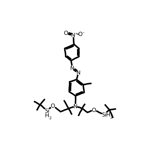 Cc1cc(N(C(C)(C)CO[SiH2]C(C)(C)C)C(C)(C)CO[SiH2]C(C)(C)C)ccc1N=Nc1ccc([N+](=O)[O-])cc1